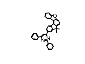 CC1(C)c2cc(-c3cc(-c4ccccc4)nc(-c4ccccc4)n3)ccc2-c2c1ccc1oc3ccccc3c21